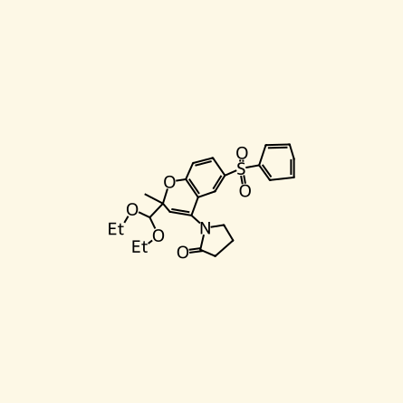 CCOC(OCC)C1(C)C=C(N2CCCC2=O)c2cc(S(=O)(=O)c3ccccc3)ccc2O1